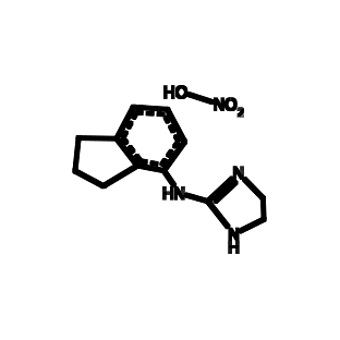 O=[N+]([O-])O.c1cc2c(c(NC3=NCCN3)c1)CCC2